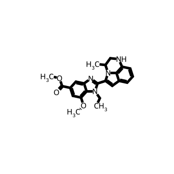 CCn1c(-c2cc3cccc4c3n2C(C)CN4)nc2cc(C(=O)OC)cc(OC)c21